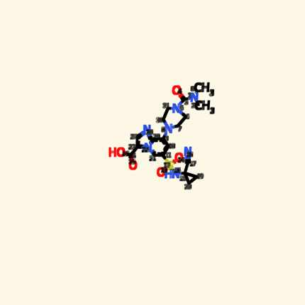 CN(C)C(=O)N1CCN(c2cc(S(=O)(=O)NC3(C#N)CC3)cn3c(C(=O)O)cnc23)CC1